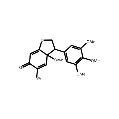 CCCC1=CC2(OC)C(=CC1=O)OCC2c1cc(OC)c(OC)c(OC)c1